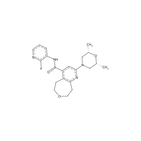 C[C@@H]1CN(c2cc(C(=O)Nc3cccnc3F)c3c(n2)CCOCC3)C[C@H](C)O1